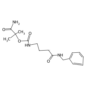 CC(C)(OC(=O)NCC[CH]C(=O)NCc1ccccc1)C(N)=O